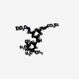 CCOC(=O)/C=N/c1nc(/N=C/C(=O)OCC)nc(NC2CC(C)(C)NC(C)(C)C2)n1